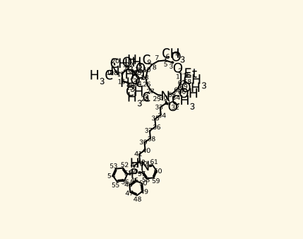 CC[C@H]1OC(=O)[C@H](C)C[C@H](C)[C@@H](O[C@@H]2O[C@H](C)C[C@H](N(C)C)[C@H]2O)[C@](C)(O)C[C@@H](C)CN(C(=O)CCCCCCCCCCC[PH](c2ccccc2)(c2ccccc2)c2ccccn2)[C@H](C)[C@@H](O)[C@]1(C)O